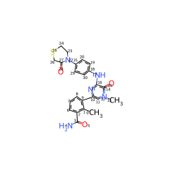 Cc1c(C(N)=O)cccc1-c1cn(C)c(=O)c(Nc2ccc(N3CCSCC3=O)cc2)n1